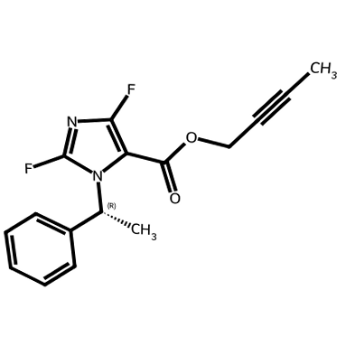 CC#CCOC(=O)c1c(F)nc(F)n1[C@H](C)c1ccccc1